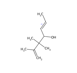 C=C(C)C(C)(C)C(O)/C=C/C